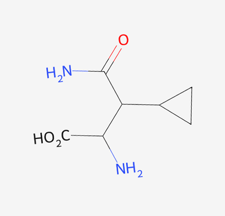 NC(=O)C(C1CC1)C(N)C(=O)O